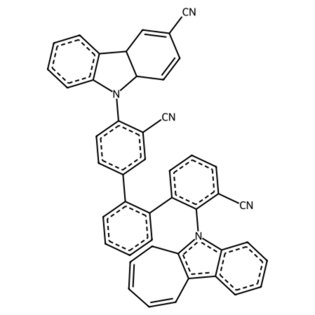 N#CC1=CC2c3ccccc3N(c3ccc(-c4ccccc4-c4cccc(C#N)c4-n4c5c(c6ccccc64)C=CC=CC5)cc3C#N)C2C=C1